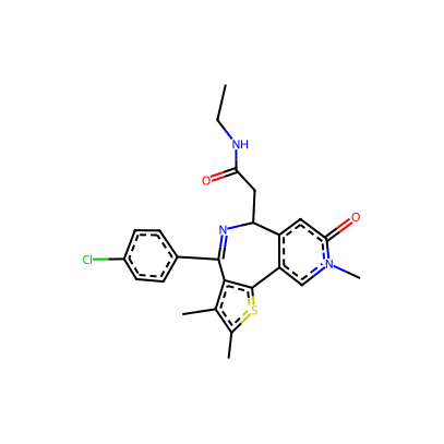 CCNC(=O)CC1N=C(c2ccc(Cl)cc2)c2c(sc(C)c2C)-c2cn(C)c(=O)cc21